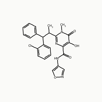 CC(c1nc(C(=O)Nc2cnoc2)c(O)c(=O)n1C)C(c1ccccc1)c1ccccc1Cl